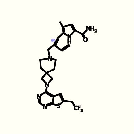 C=C/C(=C\c1[nH]c(C(N)=O)cc1C)CN1CCC2(CC1)CN(c1ncnc3sc(CC(F)(F)F)cc13)C2